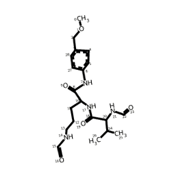 COCc1ccc(NC(=O)C(CCCNC=O)NC(=O)C(NC=O)C(C)C)cc1